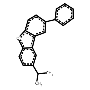 CC(C)c1ccc2oc3ccc(-c4ccccc4)cc3c2c1